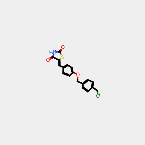 O=C1NC(=O)C(=Cc2ccc(OCc3ccc(CCl)cc3)cc2)S1